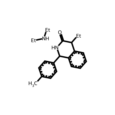 CCC1C(=O)NC(c2ccc(C)cc2)c2ccccc21.CCNCC